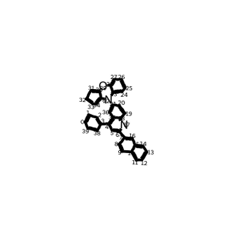 c1ccc(-c2cc(-c3ccc4ccccc4c3)nc3ccc(N4c5ccccc5Oc5ccccc54)cc23)cc1